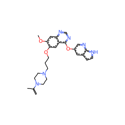 C=C(C)N1CCN(CCCOc2cc3c(Oc4cnc5[nH]ccc5c4)ncnc3cc2OC)CC1